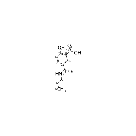 CCCNC(=O)c1ccc(O)c(C(=O)O)c1